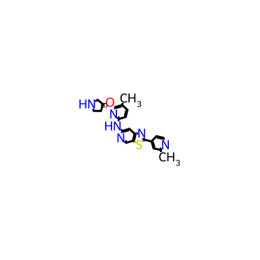 Cc1cc(-c2nc3cc(Nc4ccc(C)c(O[C@H]5CCNC5)n4)ncc3s2)ccn1